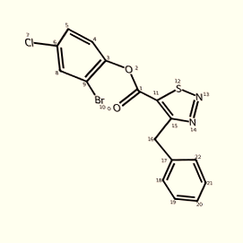 O=C(Oc1ccc(Cl)cc1Br)c1snnc1Cc1ccccc1